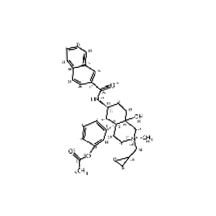 CC(=O)Oc1cccc([C@@]23CC[N@+](C)(CC4CC4)CC2(O)CC[C@H](NC(=O)c2ccc4ccccc4c2)C3)c1